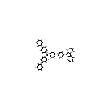 C1=Cc2c(c3c(n2-c2ccc(-c4ccc(N(c5ccc(-c6ccccc6)cc5)c5ccc(-c6ccccc6)cc5)cc4)cc2)CCCC3)CC1